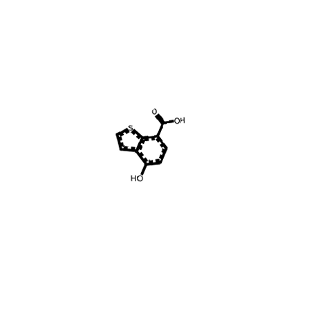 O=C(O)c1ccc(O)c2ccsc12